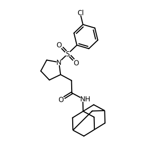 O=C(CC1CCCN1S(=O)(=O)c1cccc(Cl)c1)NC12CC3CC(CC(C3)C1)C2